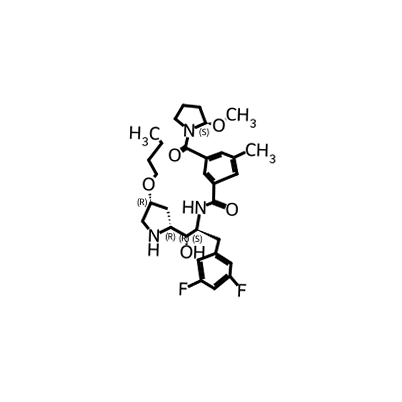 CCCCO[C@H]1CN[C@@H]([C@@H](O)[C@H](Cc2cc(F)cc(F)c2)NC(=O)c2cc(C)cc(C(=O)N3CCC[C@@H]3OC)c2)C1